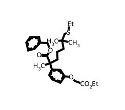 CCOC(=O)COc1cccc(C(C)(CCCC(C)(C)CSCC)C(=O)OCc2ccccc2)c1